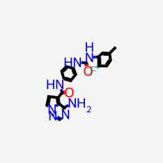 Cc1ccc(F)c(NC(=O)Nc2ccc(NC(=O)c3ccn4ncnc(N)c34)cc2)c1